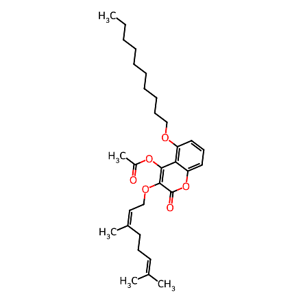 CCCCCCCCCCOc1cccc2oc(=O)c(OCC=C(C)CCC=C(C)C)c(OC(C)=O)c12